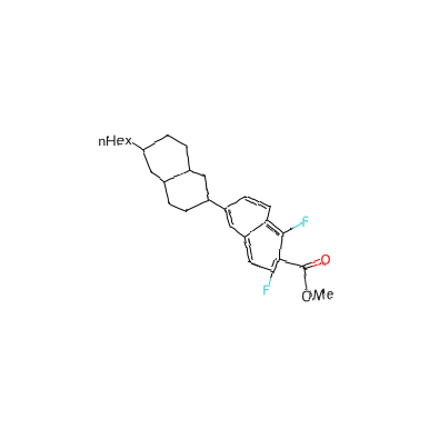 CCCCCCC1CCC2CC(c3ccc4c(F)c(C(=O)OC)c(F)cc4c3)CCC2C1